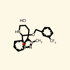 Cl.Cn1nncc1C1(OCc2cccc(C(F)(F)F)c2)CCCNC1c1ccccc1